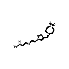 CC(C)NCCOCCn1cc(CN2CCS(=O)(=O)CC2)nn1